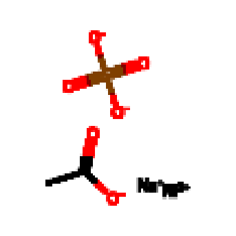 CC(=O)[O-].O=S(=O)([O-])[O-].[Na+].[Ni+2]